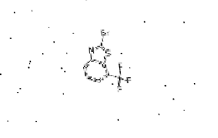 FC(F)(F)c1cccc2nc(Br)sc12